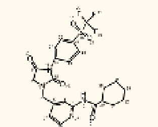 O=C(Nc1cc(CN2CC(=O)N(c3ccc(S(=O)(=O)C(F)(F)F)cc3)C2=O)ccn1)C1CCCCC1